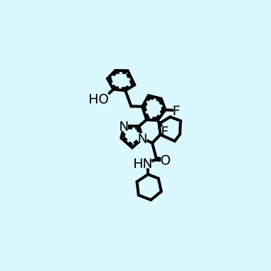 O=C(NC1CCCCC1)C(C1CCCCC1)n1ccnc1-c1c(Cc2ccccc2O)ccc(F)c1F